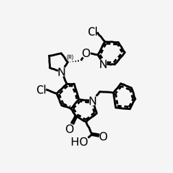 O=C(O)c1cn(Cc2ccccc2)c2cc(N3CCC[C@@H]3COc3ncccc3Cl)c(Cl)cc2c1=O